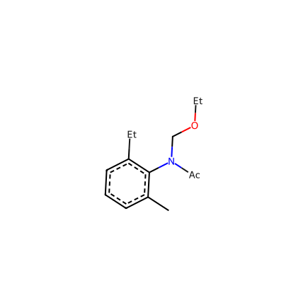 CCOCN(C(C)=O)c1c(C)cccc1CC